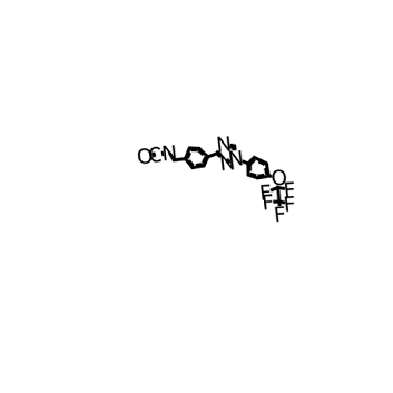 O=C=NCc1ccc(-c2ncn(-c3ccc(OC(F)(F)C(F)(F)F)cc3)n2)cc1